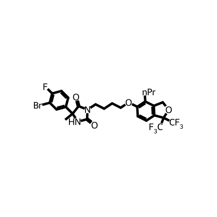 CCCc1c(OCCCCN2C(=O)NC(C)(c3ccc(F)c(Br)c3)C2=O)ccc2c1COC2(C(F)(F)F)C(F)(F)F